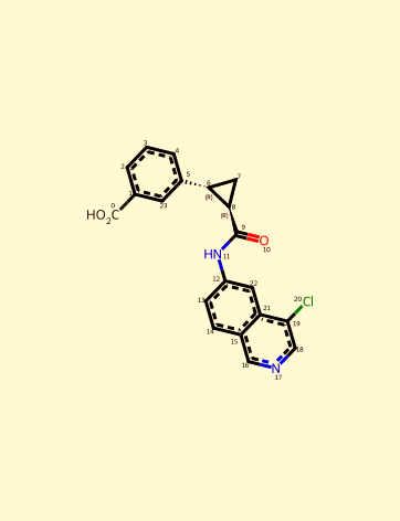 O=C(O)c1cccc([C@@H]2C[C@H]2C(=O)Nc2ccc3cncc(Cl)c3c2)c1